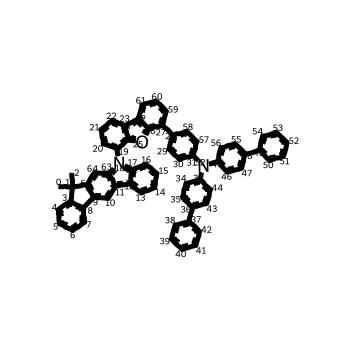 CC1(C)c2ccccc2-c2cc3c4ccccc4n(-c4cccc5c4oc4c(-c6ccc(N(c7ccc(-c8ccccc8)cc7)c7ccc(-c8ccccc8)cc7)cc6)cccc45)c3cc21